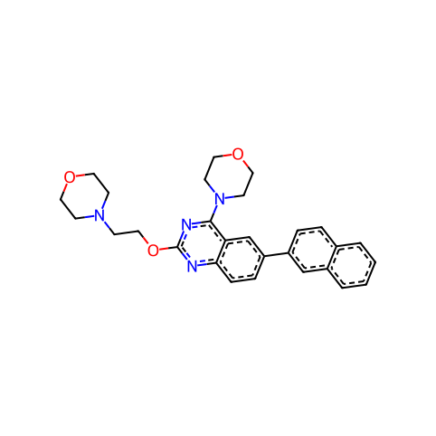 c1ccc2cc(-c3ccc4nc(OCCN5CCOCC5)nc(N5CCOCC5)c4c3)ccc2c1